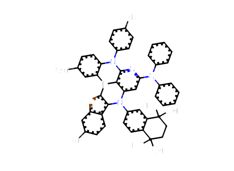 CC(C)(C)c1ccc(N2c3ccc(C(C)(C)C)cc3B3c4sc5cc(C(C)(C)C)ccc5c4N(c4ccc5c(c4)C(C)(C)CCC5(C)C)c4cc(N(c5ccccc5)c5ccccc5)nc2c43)cc1